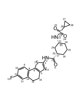 O=C(Nc1nc2c(s1)-c1ccc(F)cc1CC2)[C@H]1CCC[C@@H](NS(=O)(=O)C2CC2)C1